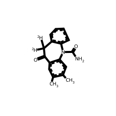 [2H]C1([2H])C(=O)c2cc(C)c(C)cc2N(C(N)=O)c2ccccc21